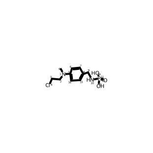 CN(CCCl)c1ccc(CNP(=O)(O)O)cc1